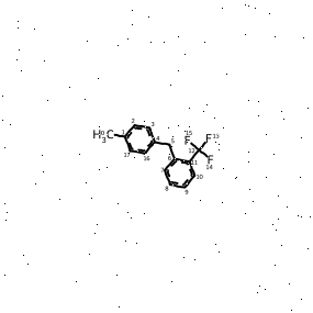 Cc1ccc(Cc2ccccc2C(F)(F)F)cc1